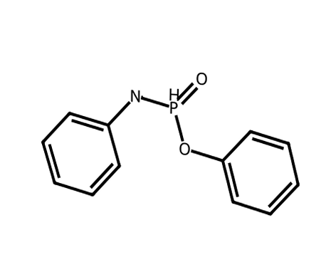 O=[PH]([N]c1ccccc1)Oc1ccccc1